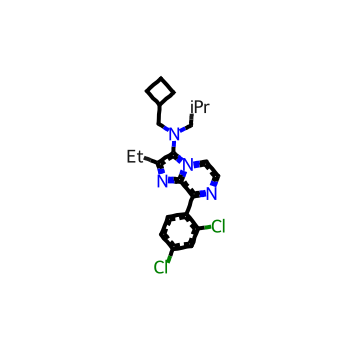 CCc1nc2c(-c3ccc(Cl)cc3Cl)nccn2c1N(CC(C)C)CC1CCC1